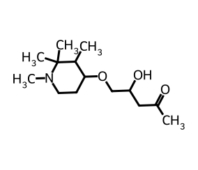 CC(=O)CC(O)COC1CCN(C)C(C)(C)C1C